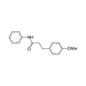 COc1ccc(CCC(=O)Nc2ccccc2)cc1